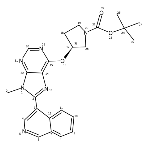 Cn1c(-c2cncc3ccccc23)nc2c(O[C@H]3CCN(C(=O)OC(C)(C)C)C3)ncnc21